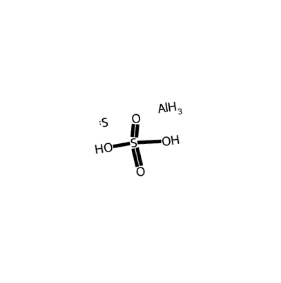 O=S(=O)(O)O.[AlH3].[S]